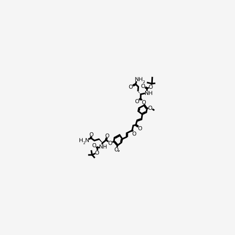 COc1cc(/C=C/C(=O)CC(=O)/C=C/c2ccc(OC(=O)[C@H](CCC(N)=O)NC(=O)OC(C)(C)C)c(OC)c2)ccc1OC(=O)[C@H](CCC(N)=O)NC(=O)OC(C)(C)C